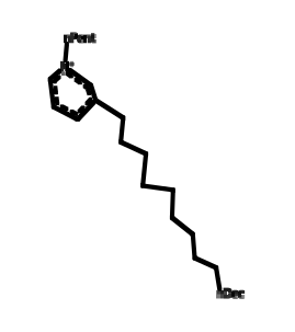 CCCCCCCCCCCCCCCCCCCc1ccc[n+](CCCCC)c1